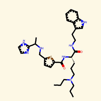 CCCN(CCC)CCC[C@H](NC(=O)c1ccc(CNC(C)c2ncc[nH]2)s1)C(=O)NCCc1c[nH]c2ccccc12